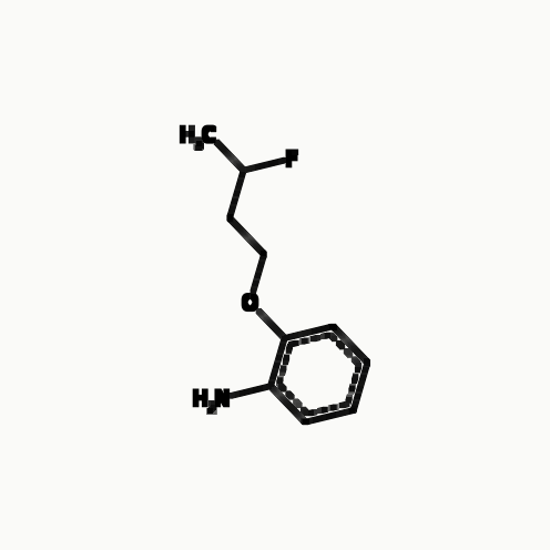 CC(F)CCOc1ccccc1N